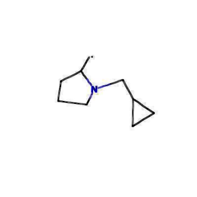 [CH2]C1CCCN1CC1CC1